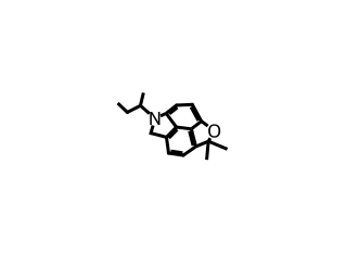 CCC(C)N1Cc2ccc3c4c(ccc1c24)OC3(C)C